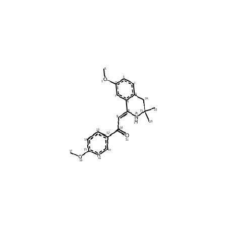 COc1ccc2c(c1)/C(=C/C(=O)c1ccc(OC)nc1)NC(C)(C)C2